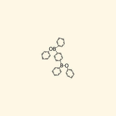 c1ccc(OB(c2ccccc2)c2ccc(B(Oc3ccccc3)c3ccccc3)cc2)cc1